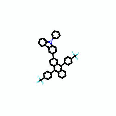 FC(F)(F)c1ccc(-c2c3ccccc3c(-c3ccc(C(F)(F)F)cc3)c3cc(-c4ccc5c(c4)c4ccccc4n5-c4ccccc4)ccc23)cc1